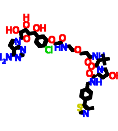 Cc1ncsc1-c1ccc(CNC(=O)[C@@H]2C[C@@H](O)CN2C(=O)[C@@H](NC(=O)CCOCCNC(=O)COc2cc([C@@H](O)[C@H]3OC(n4ccc5c(N)ncnc54)[C@H](O)[C@@H]3O)ccc2Cl)C(C)(C)C)cc1